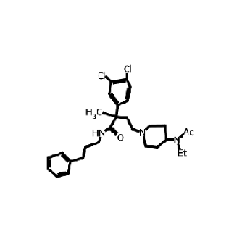 CCN(C(C)=O)C1CCN(CCC(C)(C(=O)NCCCc2ccccc2)c2ccc(Cl)c(Cl)c2)CC1